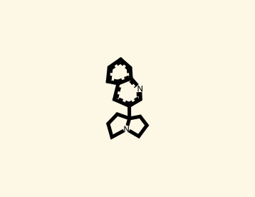 c1ccc2ncc(C34CCCN3CCC4)cc2c1